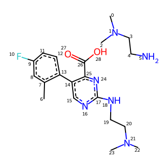 CN(C)CCN.Cc1cc(F)ccc1-c1cnc(NCCN(C)C)nc1C(=O)O